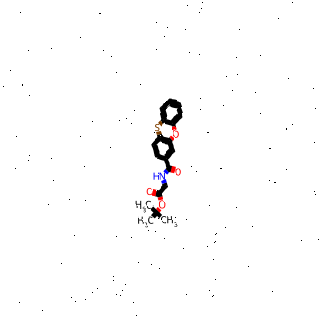 CC(C)(C)OC(=O)CNC(=O)c1ccc2c(c1)Oc1ccccc1S2